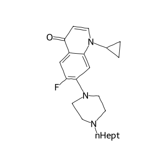 CCCCCCCN1CCN(c2cc3c(cc2F)c(=O)ccn3C2CC2)CC1